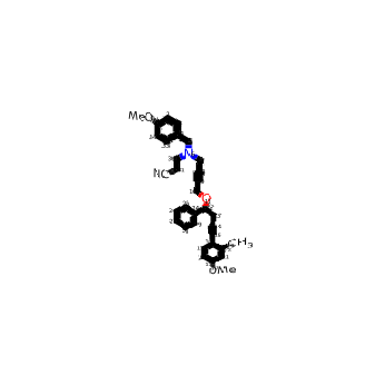 COc1ccc(CN(CC#CCOC(CC#Cc2ccc(OC)cc2C)c2ccccc2)CCC#N)cc1